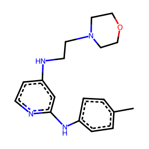 Cc1ccc(Nc2cc(NCCN3CCOCC3)ccn2)cc1